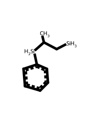 CC(C[SiH3])[SiH2]c1ccccc1